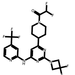 O=C(C(F)F)N1CCC(c2cc(Nc3cc(C(F)(F)F)ccn3)nc(N3CC(F)(F)C3)n2)CC1